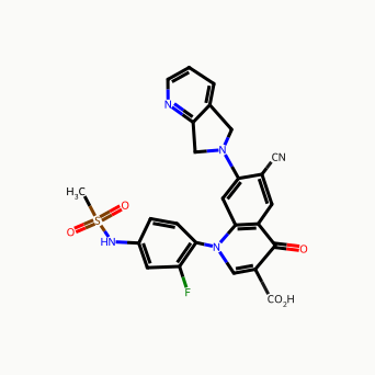 CS(=O)(=O)Nc1ccc(-n2cc(C(=O)O)c(=O)c3cc(C#N)c(N4Cc5cccnc5C4)cc32)c(F)c1